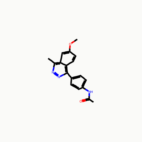 COc1ccc2c(-c3ccc(NC(C)=O)cc3)nnc(C)c2c1